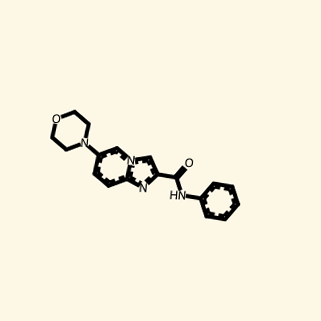 O=C(Nc1ccccc1)c1cn2cc(N3CCOCC3)ccc2n1